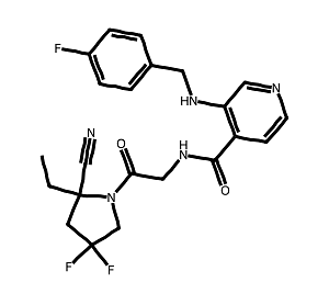 CCC1(C#N)CC(F)(F)CN1C(=O)CNC(=O)c1ccncc1NCc1ccc(F)cc1